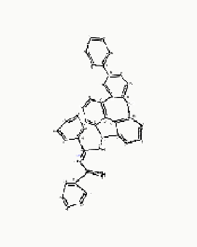 N=C(/N=C(\Nn1c2cccc3oc4ccc(-c5ccccc5)cc4c4cccc1c4c32)c1ccccc1)c1ccccc1